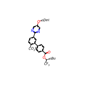 CCCCCCCCCCOc1cnc(-c2ccc(C(=O)O)c(-c3ccc(C(=O)O[C@@H](CCCC)C(F)(F)F)cc3)c2)nc1